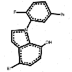 Oc1ccc(Br)c2ccn(-c3cc(Br)ccc3F)c12